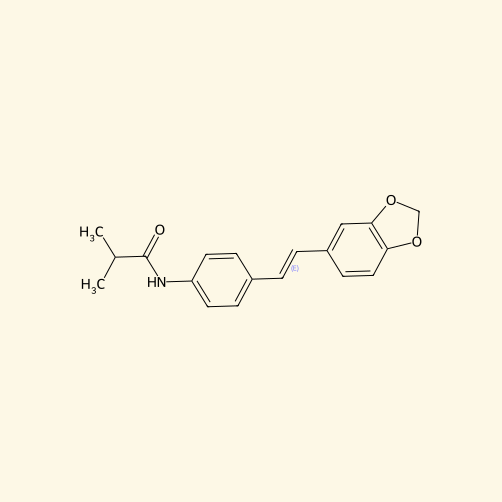 CC(C)C(=O)Nc1ccc(/C=C/c2ccc3c(c2)OCO3)cc1